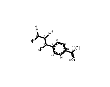 FC(F)C(F)C(F)c1ccc(C(=S)Cl)cc1